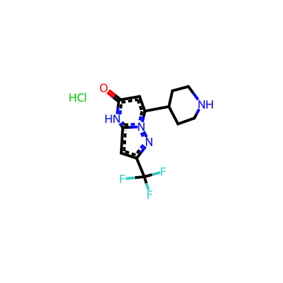 Cl.O=c1cc(C2CCNCC2)n2nc(C(F)(F)F)cc2[nH]1